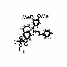 COc1ccc(C(=NCCc2ccccc2)N2CCCc3cc(C(=O)C(C)(C)Cl)ccc32)cc1OC